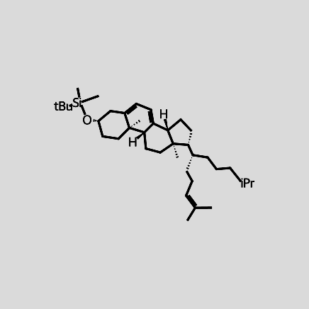 CC(C)=CCC[C@@H](CCCC(C)C)[C@H]1CC[C@H]2C3=CC=C4C[C@@H](O[Si](C)(C)C(C)(C)C)CC[C@]4(C)[C@H]3CC[C@]12C